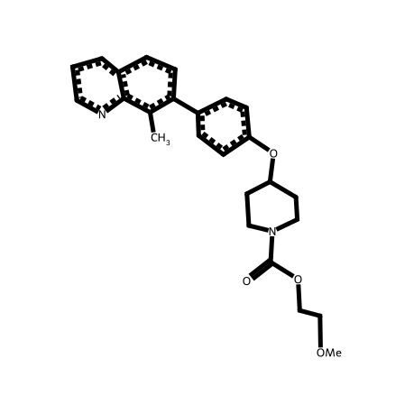 COCCOC(=O)N1CCC(Oc2ccc(-c3ccc4cccnc4c3C)cc2)CC1